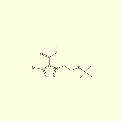 CCC(=O)c1c(Br)cnn1CCSC(C)(C)C